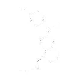 Cc1ccc(N(C)c2ccc3c(c2)OCC[C@H]3CNC(=O)O)cc1